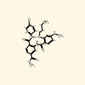 COC(=O)c1ccc(C(=O)Nc2ccc(Cl)cn2)c(NC(=O)c2ccc(SC)cc2OCCCN)c1